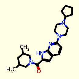 CC1CC(C)CN(C(=O)c2cc3ccc(N4CCN(C5CCCC5)CC4)nc3[nH]2)C1